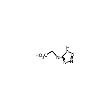 NCC(=O)O.c1nnn[nH]1